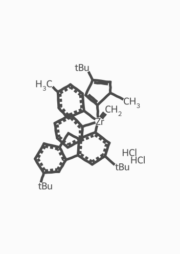 Cl.Cl.[CH2]=[Zr]([C]1=CC(C(C)(C)C)=CC1C)([c]1ccccc1)([c]1ccc(C)cc1)[c]1cc(C(C)(C)C)cc2c1Cc1ccc(C(C)(C)C)cc1-2